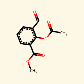 COC(=O)c1cccc(C=O)c1OC(C)=O